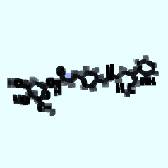 Cc1[nH]c2ccccc2c1CCNCc1ccc(/C=C/C(=O)NO[C@H]2C[C@H](O)[C@@H](O)[C@H](C)O2)cc1